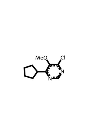 COc1c(Cl)ncnc1C1CCCC1